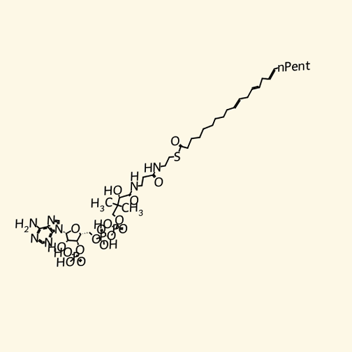 CCCCCC=CCC=CCC=CCCCCCCCCC(=O)SCCNC(=O)CCNC(=O)[C@H](O)C(C)(C)COP(=O)(O)OP(=O)(O)OC[C@H]1O[C@@H](n2cnc3c(N)ncnc32)[C@H](O)[C@@H]1OP(=O)(O)O